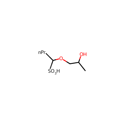 CCCC(OCC(C)O)S(=O)(=O)O